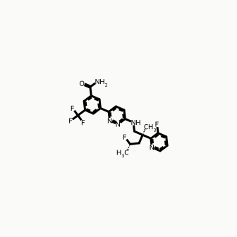 C[C@H](F)C[C@@](C)(CNc1ccc(-c2cc(C(N)=O)cc(C(F)(F)F)c2)nn1)c1ncccc1F